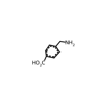 NCc1[c]cc(C(=O)O)cc1